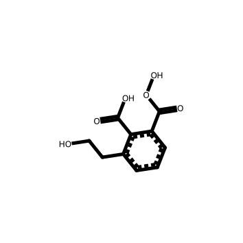 O=C(OO)c1cccc(CCO)c1C(=O)O